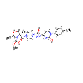 Cc1ccc(-n2ccc(NC(=O)N3CCN(C(=O)[C@]4(C)COC(C(C)(C)C)N4C(=O)OC(C)(C)C)CC3)nc2=O)cc1